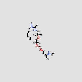 C=C/C=C\CCN(C)C(=C)NCC(C)(C)OCC(C)(C)OCOCCC(=C)NC=C